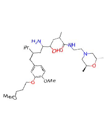 COCCCOc1cc(CC(CC(N)C(O)CC(C)C(=O)NCCN2C[C@H](C)O[C@@H](C)C2)C(C)C)ccc1OC